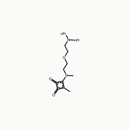 CCCN(CCC)CCOCCN(C)c1c(C)c(=O)c1=O